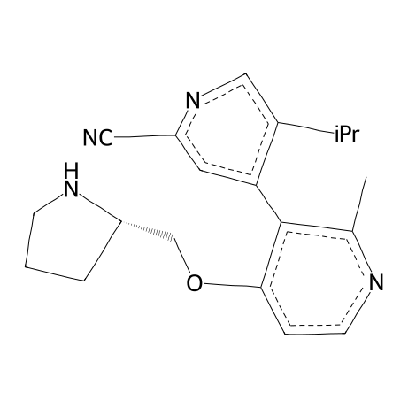 Cc1nccc(OC[C@@H]2CCCN2)c1-c1cc(C#N)ncc1C(C)C